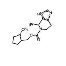 CC(C)C1c2[nH]cnc2CCN1C(=O)OCC1CCCN1C